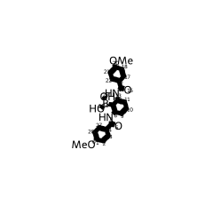 COc1ccc(C(=O)Nc2cccc(NC(=O)c3ccc(OC)cc3)c2B(O)O)cc1